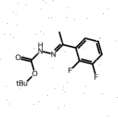 CC(=NNC(=O)OC(C)(C)C)c1cccc(F)c1F